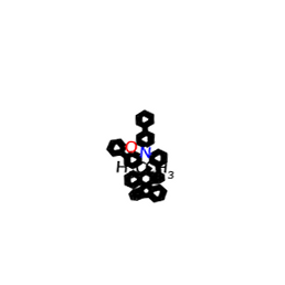 CC1(C)c2ccccc2C2(c3ccccc3-c3ccccc32)c2cccc(-c3cccc(N(c4ccc(-c5ccccc5)cc4)c4cccc5c4oc4ccccc45)c3)c21